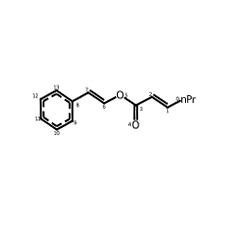 CCCC=CC(=O)OC=Cc1ccccc1